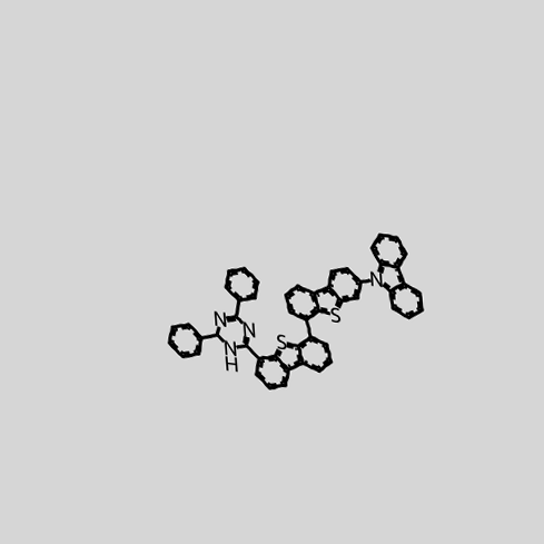 c1ccc(C2=NC(c3ccccc3)NC(c3cccc4c3sc3c(-c5cccc6c5sc5cc(-n7c8ccccc8c8ccccc87)ccc56)cccc34)=N2)cc1